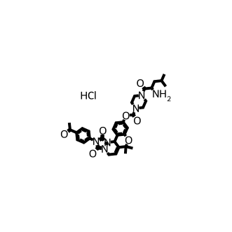 CC(=O)c1ccc(-n2c(=O)n3n(c2=O)C2C(=CC3)C(C)(C)Oc3cc(OC(=O)N4CCN(C(=O)C(N)CC(C)C)CC4)ccc32)cc1.Cl